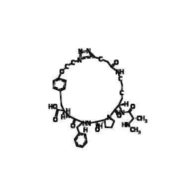 CN[C@@H](C)C(=O)N[C@H]1CCCCNC(=O)CCc2cn(nn2)CCOc2ccc(cc2)C[C@@H](C(=O)O)NC(=O)[C@H](Cc2ccccc2)NC(=O)[C@@H]2CCCN2C1=O